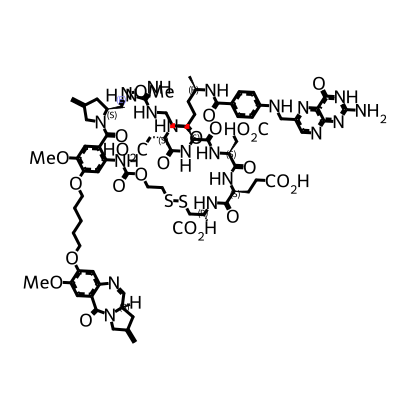 C=C1C[C@H]2C=Nc3cc(OCCCCCOc4cc(NC(=O)OCCSSC[C@H](NC(=O)[C@H](CCC(=O)O)NC(=O)[C@H](CC(=O)O)NC(=O)[C@H](CCCNC(=N)N)NC(=O)[C@H](CC(=O)O)NC(=O)CC[C@@H](C)NC(=O)c5ccc(NCc6cnc7nc(N)[nH]c(=O)c7n6)cc5)C(=O)O)c(C(=O)N5CC(=C)C[C@H]5/C=N/OC)cc4OC)c(OC)cc3C(=O)N2C1